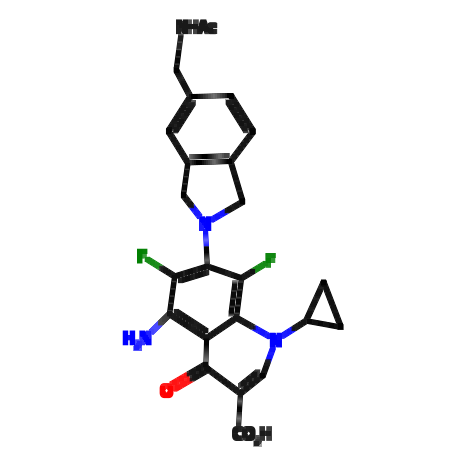 CC(=O)NCc1ccc2c(c1)CN(c1c(F)c(N)c3c(=O)c(C(=O)O)cn(C4CC4)c3c1F)C2